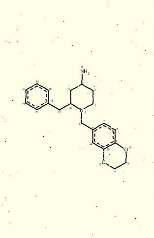 NC1CCN(Cc2ccc3c(c2)OCCO3)C(Cc2ccccc2)C1